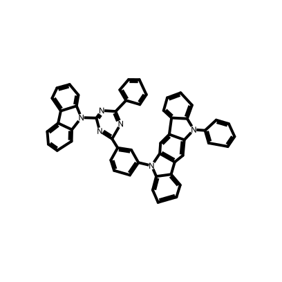 c1ccc(-c2nc(-c3cccc(-n4c5ccccc5c5cc6c(cc54)c4ccccc4n6-c4ccccc4)c3)nc(-n3c4ccccc4c4ccccc43)n2)cc1